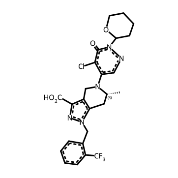 C[C@@H]1Cc2c(c(C(=O)O)nn2Cc2ccccc2C(F)(F)F)CN1c1cnn(C2CCCCO2)c(=O)c1Cl